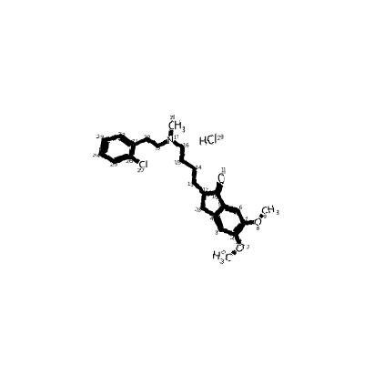 COc1cc2c(cc1OC)C(=O)C(CCCCN(C)CCc1ccccc1Cl)C2.Cl